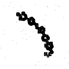 CCc1cnc(N2CCC(c3nc(COc4ccc([C@H]5CO[S@@](=O)OC5)cc4)cs3)CC2)nc1